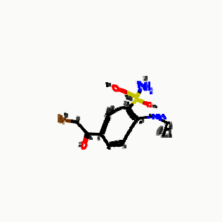 CCNc1ccc(C(=O)CBr)cc1S(N)(=O)=O